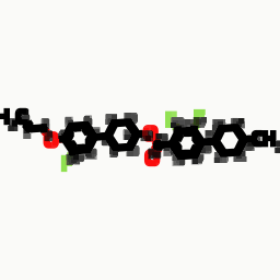 C=CCOc1ccc(C2CCC(OC(=O)c3ccc(C4CCC(C)CC4)c(F)c3F)CC2)cc1F